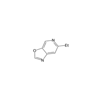 CCc1cc2ncoc2cn1